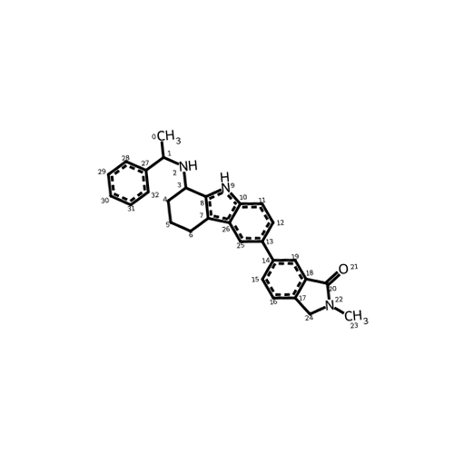 CC(NC1CCCc2c1[nH]c1ccc(-c3ccc4c(c3)C(=O)N(C)C4)cc21)c1ccccc1